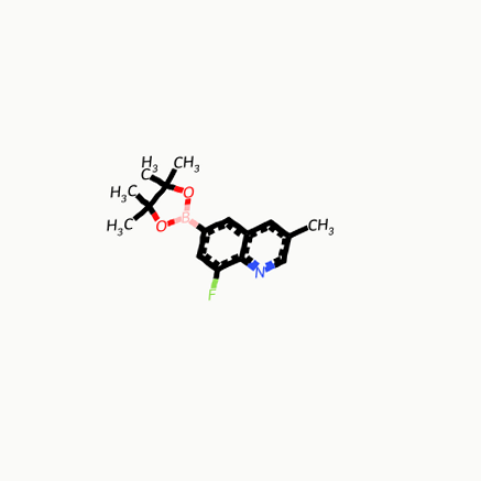 Cc1cnc2c(F)cc(B3OC(C)(C)C(C)(C)O3)cc2c1